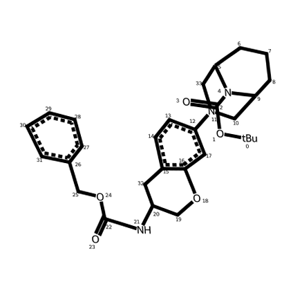 CC(C)(C)OC(=O)N1C2CCCC1CN(c1ccc3c(c1)OCC(NC(=O)OCc1ccccc1)C3)C2